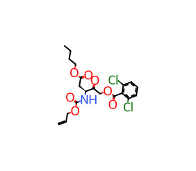 C=CCOC(=O)N[C@@H](CC(=O)OCCCC)C(=O)COC(=O)c1c(Cl)cccc1Cl